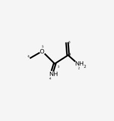 C=C(N)C(=N)OC